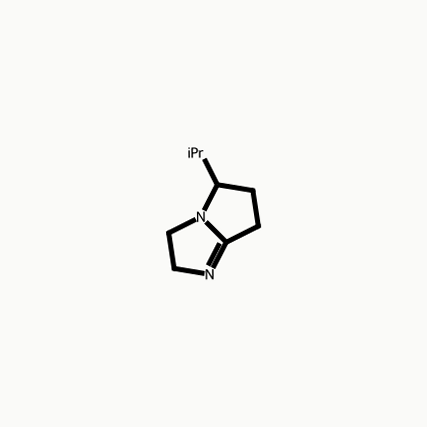 CC(C)C1CCC2=NCCN21